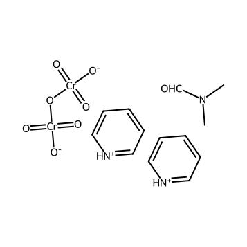 CN(C)C=O.[O]=[Cr](=[O])([O-])[O][Cr](=[O])(=[O])[O-].c1cc[nH+]cc1.c1cc[nH+]cc1